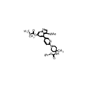 CNc1cnn2cc(OC(=O)N(C)C)cc(-c3ccc(N4CCC(C)(NC(=O)OC(C)C)CC4)nc3)c12